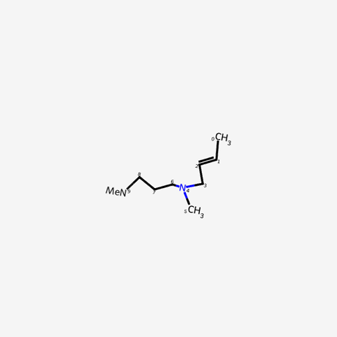 C/C=C/CN(C)CCCNC